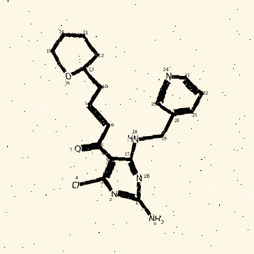 Nc1nc(Cl)c(C(=O)/C=C/CC2CCCCO2)c(NCc2cccnc2)n1